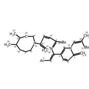 C=C1C=CC(C(=C/C(C)=O)/N=C(/C=C\C(=C/C)N2CCCC(C)C(C)CC2)C(C)CC)=CN1/C=C(/C)C(C)CC